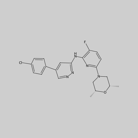 C[C@@H]1CN(c2ccc(F)c(Nc3cc(-c4ccc(Cl)cc4)cnn3)n2)C[C@H](C)O1